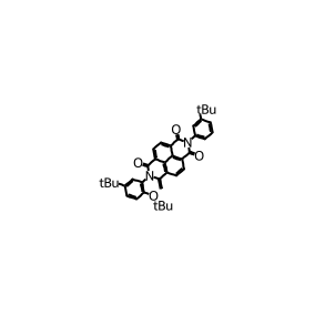 C=c1c2ccc3c4c(ccc(c(=O)n1-c1cc(C(C)(C)C)ccc1OC(C)(C)C)c42)C(=O)N(c1cccc(C(C)(C)C)c1)C3=O